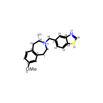 COc1ccc2c(c1)CCN(Cc1ccc3scnc3c1)[C@@H](C)C2